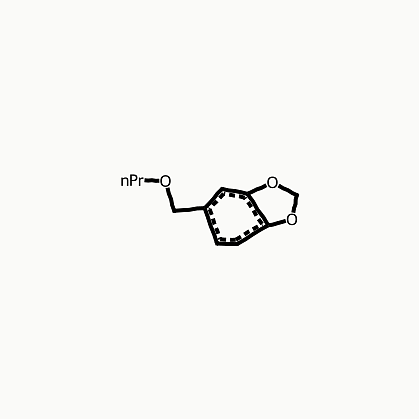 CCCOCc1ccc2c(c1)OCO2